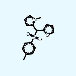 Cc1ccc(S(=O)(=O)C(c2cccs2)c2cccn2C)cc1